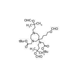 CC(C)(C)OC(=O)CN1CCN(CCC(C)(C)OC=O)CCC(CCCCOC=O)(N(CCC(C)(C)OC=O)CC(=O)OC(C)(C)C)C1